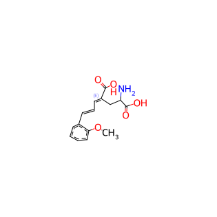 COc1ccccc1C=C/C=C(\CC(N)C(=O)O)C(=O)O